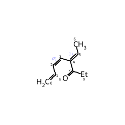 C=C/C=C\C(=C/C)C(=O)CC